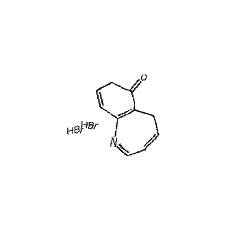 Br.Br.O=C1CC=CC2=C1CC=CC=N2